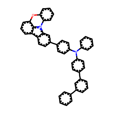 c1ccc(-c2cccc(-c3ccc(N(c4ccccc4)c4ccc(-c5ccc6c7cccc8c7n(c6c5)-c5ccccc5O8)cc4)cc3)c2)cc1